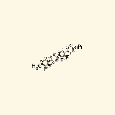 CCCC1CCC(c2ccc(C3CCC(c4ccc(C)c(F)c4F)CC3)c(F)c2F)CC1